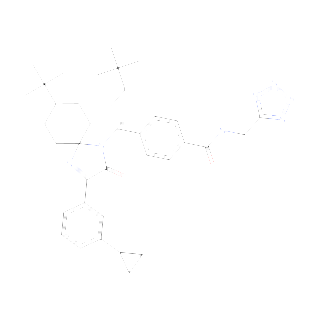 CC(C)(C)CC[C@H](c1ccc(C(=O)NCc2nn[nH]n2)cc1)N1C(=O)C(c2cccc(C3CC3)c2)=NC12CCC(C(C)(C)C)CC2